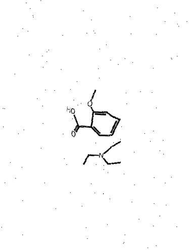 CCN(CC)CC.COc1ccccc1C(=O)O